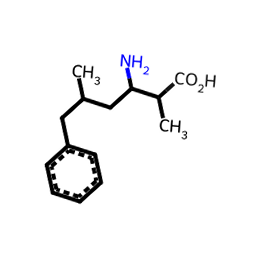 CC(Cc1ccccc1)CC(N)C(C)C(=O)O